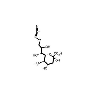 [N-]=[N+]=NOC[C@@H](O)[C@@H](O)[C@@H]1OC(O)(C(=O)O)C[C@H](O)[C@H]1N